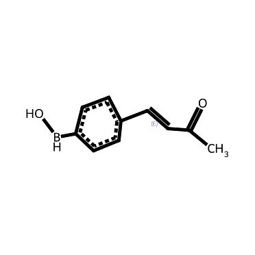 CC(=O)/C=C/c1ccc(BO)cc1